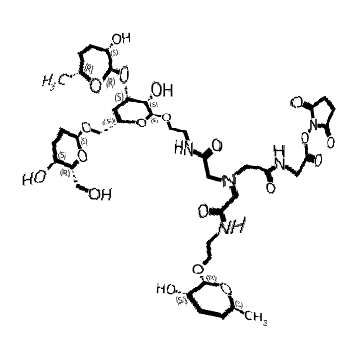 C[C@@H]1CC[C@H](O)[C@@H](O[C@H]2C[C@@H](CO[C@@H]3CC[C@H](O)[C@@H](CO)O3)O[C@H](OCCNC(=O)CN(CC(=O)NCCO[C@@H]3O[C@@H](C)CC[C@@H]3O)CC(=O)NCC(=O)ON3C(=O)CCC3=O)[C@H]2O)O1